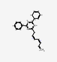 C=C/C=C\C=C/Cc1nc(-c2ccccc2)nc(C2C=CC=CC2)n1